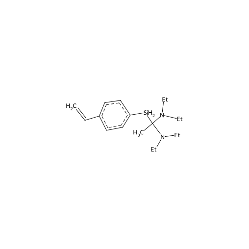 C=Cc1ccc([SiH2]C(C)(N(CC)CC)N(CC)CC)cc1